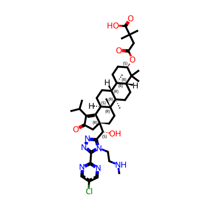 CNCCn1c(-c2ncc(Cl)cn2)nnc1[C@@H](O)[C@@]12CC[C@]3(C)[C@H](CC[C@@H]4[C@@]5(C)CC[C@H](OC(=O)CC(C)(C)C(=O)O)C(C)(C)[C@@H]5CC[C@]43C)C1=C(C(C)C)C(=O)C2